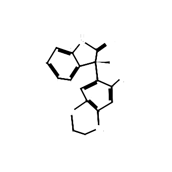 C[C@]1(c2cc3c(cc2O)OCCO3)C(=O)Nc2ccccc21